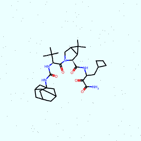 CC1(C)C2CN(C(=O)[C@@H](NC(=O)NC34CC5CC(CC(C5)C3)C4)C(C)(C)C)[C@H](C(=O)NC(CC3CCC3)C(=O)C(N)=O)C21